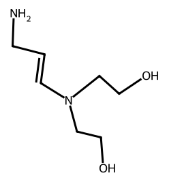 NCC=CN(CCO)CCO